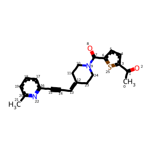 CC(=O)c1ccc(C(=O)N2CCC(=CC#Cc3cccc(C)n3)CC2)s1